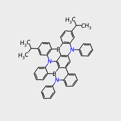 CC(C)c1ccc2c(c1)N(c1ccccc1)c1cc3c4c5c1B2c1ccc(C(C)C)cc1N5c1ccccc1B4N(c1ccccc1)c1ccccc1-3